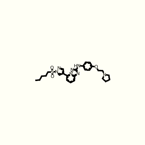 CCCCCS(=O)(=O)n1cc(-c2cccc3nc(Nc4ccc(OCCN5CCCC5)cc4)nn23)cn1